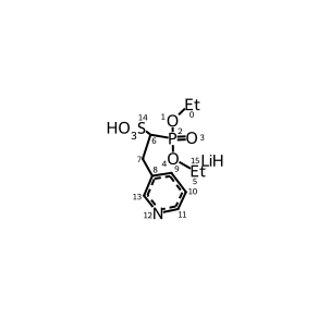 CCOP(=O)(OCC)C(Cc1cccnc1)S(=O)(=O)O.[LiH]